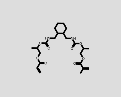 C=CC(=O)OCC(C)OC(=O)NCC1CCCCC1CNC(=O)OC(C)COC(=O)C(=C)C